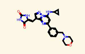 O=C1NC(=O)C(=Cc2cnn3c(NC4CC4)cc(-c4cccc(CN5CCOCC5)c4)nc23)N1